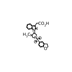 C[C@@H]1CN(S(=O)(=O)c2ccc3c(c2)CCO3)C[C@@H]1n1nc(CC(=O)O)c2ccccc21